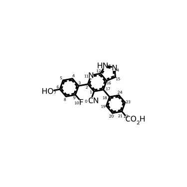 N#Cc1c(-c2ccc(O)cc2F)nc2[nH]ncc2c1-c1ccc(C(=O)O)cc1